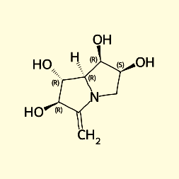 C=C1[C@@H](O)[C@H](O)[C@H]2[C@@H](O)[C@@H](O)CN12